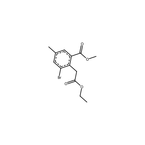 CCOC(=O)Cc1c(Br)cc(C)cc1C(=O)OC